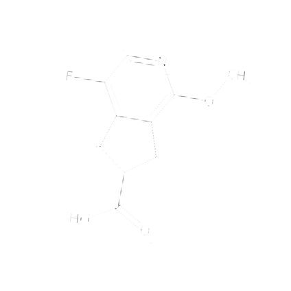 COc1ncc(F)c2c1CC(C(=O)O)C2